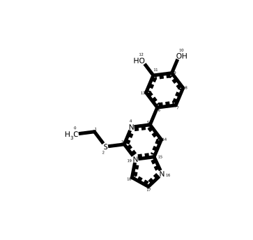 CCSc1nc(-c2ccc(O)c(O)c2)cc2nccn12